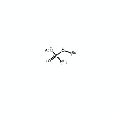 CC(=O)OP(N)(=O)OC(C)(C)C